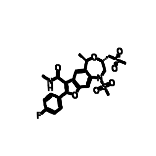 CNC(=O)c1c(-c2ccc(F)cc2)oc2cc3c(cc12)[C@@H](C)O[C@H](CS(C)(=O)=O)CN3S(C)(=O)=O